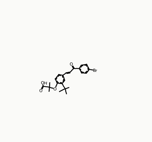 CC(C)(Oc1ccc(C=CC(=O)c2ccc(Br)cc2)cc1C(C)(C)C)C(=O)O